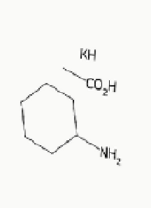 CC(=O)O.NC1CCCCC1.[KH]